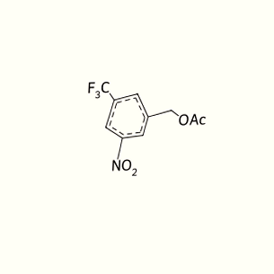 CC(=O)OCc1cc([N+](=O)[O-])cc(C(F)(F)F)c1